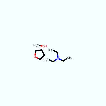 C1CCOC1.CCN(CC)CC.CO